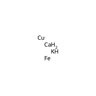 [CaH2].[Cu].[Fe].[KH]